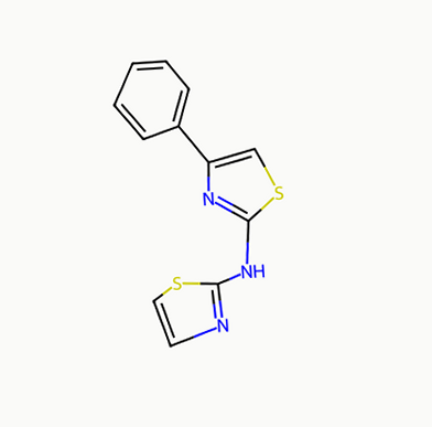 c1ccc(-c2csc(Nc3nccs3)n2)cc1